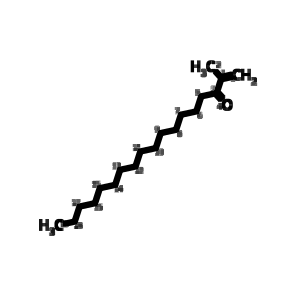 C=C(C)C(=O)CCCCCCCCCCCCCCC